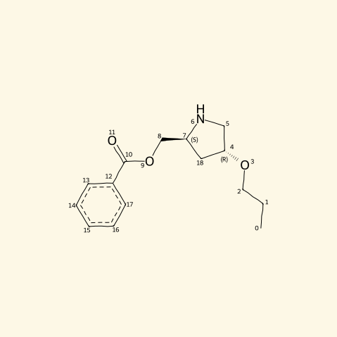 CCCO[C@H]1CN[C@H](COC(=O)c2ccccc2)C1